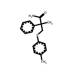 Cc1ccc(SCC(C)(C(N)=O)c2ccccc2)cc1